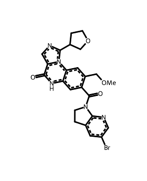 COCc1cc2c(cc1C(=O)N1CCc3cc(Br)cnc31)[nH]c(=O)c1cnc(C3CCOC3)n12